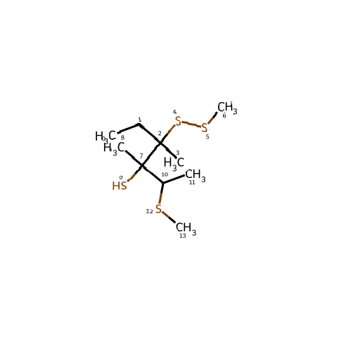 CCC(C)(SSC)C(C)(S)C(C)SC